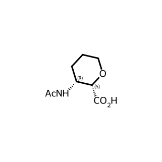 CC(=O)N[C@@H]1CCCO[C@@H]1C(=O)O